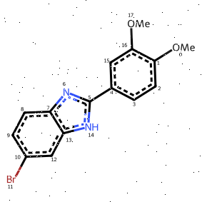 COc1ccc(-c2nc3ccc(Br)cc3[nH]2)cc1OC